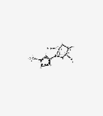 CN1C[C@@H]2C[C@H]1CN2c1ccc([N+](=O)[O-])s1